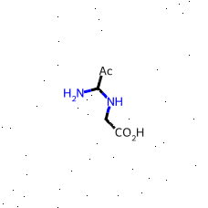 CC(=O)C(N)NCC(=O)O